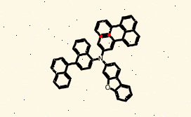 c1ccc(-c2cccc3cccc(-c4cccc(N(c5ccc6c(c5)oc5ccccc56)c5ccc(-c6cccc7ccccc67)c6ccccc56)c4)c23)cc1